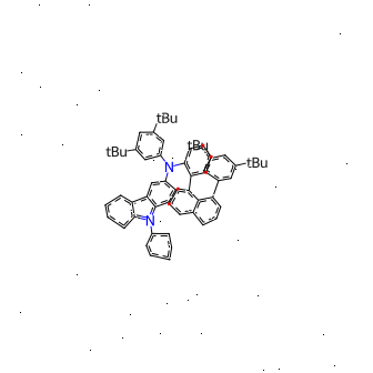 CC(C)(C)c1cc(-c2cccc3cccc(-c4ccccc4N(c4cc(C(C)(C)C)cc(C(C)(C)C)c4)c4ccc5c(c4)c4ccccc4n5-c4ccccc4)c23)cc(C(C)(C)C)c1